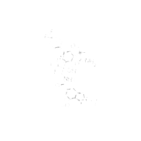 COc1cc(C(=O)NCC(O)(c2cc3c(c(C4=CCC(F)(F)CC4)n2)OC[C@]3(C)C(N)=O)C(F)(F)F)cc2cn(C3CC3)nc12